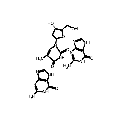 Cc1cn([C@H]2C[C@H](O)[C@@H](CO)O2)c(=O)[nH]c1=O.Nc1nc2nc[nH]c2c(=O)[nH]1.Nc1nc2nc[nH]c2c(=O)[nH]1